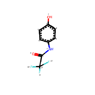 O=C(Nc1ccc(O)cc1)C(F)(F)F